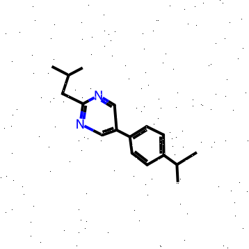 CC(C)Cc1ncc(-c2ccc(C(C)C)cc2)cn1